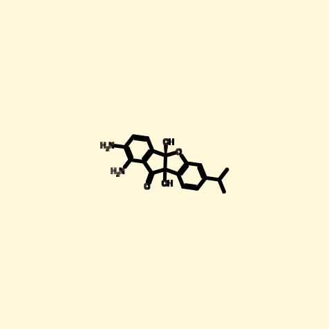 CC(C)c1ccc2c(c1)O[C@@]1(O)c3ccc(N)c(N)c3C(=O)C21O